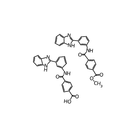 COC(=O)c1ccc(C(=O)Nc2cccc(-c3nc4ccccc4[nH]3)c2)cc1.O=C(O)c1ccc(C(=O)Nc2cccc(-c3nc4ccccc4[nH]3)c2)cc1